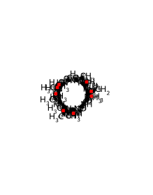 C=CCO[C@H](C)C1C(=O)NC(C(C)C)C(=O)N[C@@H](CC(C)C)C(=O)N[C@@H](C)C(=O)N[C@H](C)C(=O)N(C)[C@@H](CC(C)C)C(=O)N[C@@H](CC(C)C)C(=O)NC(C(C)C)C(=O)N[C@@H]([C@H](O)[C@H](C)C/C=C/C)C(=O)N[C@@H](CC)C(=O)NCC(=O)N1C